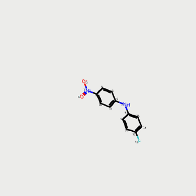 O=[N+]([O-])c1ccc(Nc2ccc(F)cc2)cc1